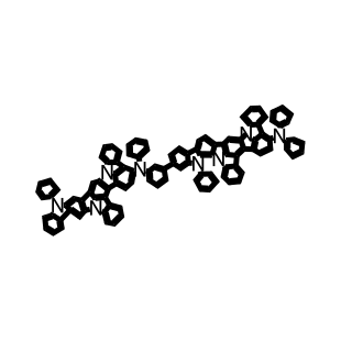 c1ccc(N(c2cccc(-c3ccc4c5ccc6c7cc8c(c9ccc(N(c%10ccccc%10)c%10ccccc%10)c%10c%11ccccc%11n8c9%10)c8c9ccccc9n(c78)c6c5n(-c5ccccc5)c4c3)c2)c2ccc3c4c5c6ccccc6n6c7cc8c9ccccc9n(-c9ccccc9)c8cc7c(cc4n4c7ccccc7c2c34)c56)cc1